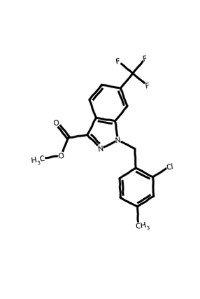 COC(=O)c1nn(Cc2ccc(C)cc2Cl)c2cc(C(F)(F)F)ccc12